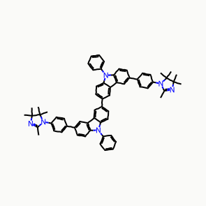 CC1=NC(C)(C)C(C)(C)N1c1ccc(-c2ccc3c(c2)c2cc(-c4ccc5c(c4)c4cc(-c6ccc(N7C(C)=NC(C)(C)C7(C)C)cc6)ccc4n5-c4ccccc4)ccc2n3-c2ccccc2)cc1